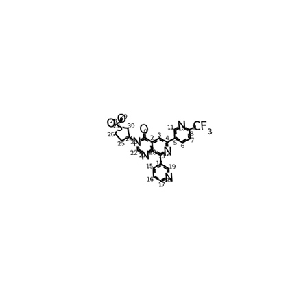 O=c1c2cc(-c3ccc(C(F)(F)F)nc3)nc(-c3cccnc3)c2ncn1C1CCS(=O)(=O)C1